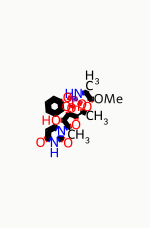 COC(=O)C(C)NP(=O)(Oc1ccccc1)OC(C)[C@H]1O[C@@](C)(n2ccc(=O)[nH]c2=O)C(O)C1O